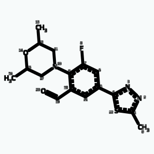 Cc1nnc(-c2cc(F)c(N3CC(C)OC(C)C3)c(C=O)c2)s1